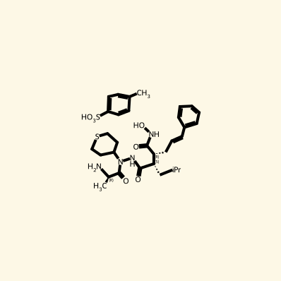 CC(C)C[C@H](C(=O)NN(C(=O)[C@@H](C)N)C1CCSCC1)[C@@H](CC=Cc1ccccc1)C(=O)NO.Cc1ccc(S(=O)(=O)O)cc1